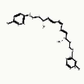 Cc1ccc(OCC[C@@H](O)/C=C/C=C\C=C\[C@@H](O)CCOc2cccc(C)c2)cc1